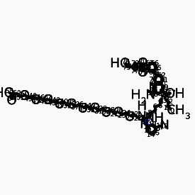 CCCN(CCCCCN/C(=N\c1cccc(C#N)c1)NCCOCCOCCOCCOCCOCCOCCOCCOCCOCCOCCC(=O)O)C(O)C1=Cc2ccc(-c3cccc(S(=O)(=O)N4CC(CO)C4)c3)cc2N=C(N)C1